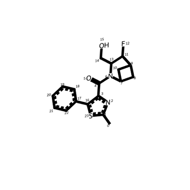 Cc1nc(C(=O)N2C3CC(C3)C(F)C2CO)c(-c2ccccc2)s1